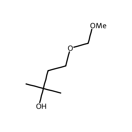 COCOCCC(C)(C)O